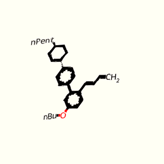 C=CC=Cc1ccc(OCCCC)cc1-c1ccc([C@H]2CC[C@H](CCCCC)CC2)cc1